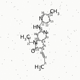 CCC#Cc1cc2cnc(Nc3ccc(C)cn3)cc2n(CC)c1=O